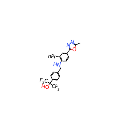 CCCc1cc(-c2nnc(C)o2)ccc1NCc1ccc(C(O)(C(F)(F)F)C(F)(F)F)cc1